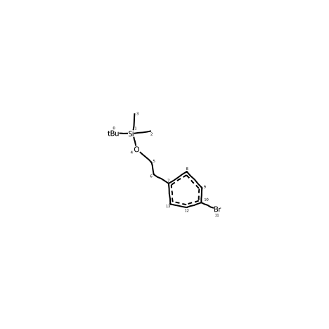 CC(C)(C)[Si](C)(C)OCCc1ccc(Br)cc1